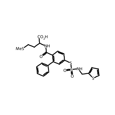 CSCCC(NC(=O)c1ccc(SS(=O)(=O)NCc2cccs2)cc1-c1ccccc1)C(=O)O